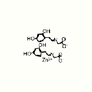 O=C([O-])CN=CCc1ccc(O)cc1O.O=C([O-])CN=CCc1ccc(O)cc1O.[Zn+2]